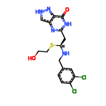 O=c1[nH]c(C[C@@H](NCc2ccc(Cl)c(Cl)c2)SCCO)nc2c[nH]nc12